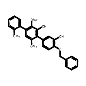 COc1ccccc1-c1cc(OC)c(-c2ccc(OCc3ccccc3)c(O)c2)c(O)c1OC